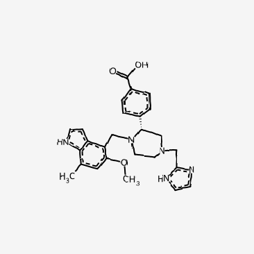 COc1cc(C)c2[nH]ccc2c1CN1CCN(Cc2ncc[nH]2)C[C@H]1c1ccc(C(=O)O)cc1